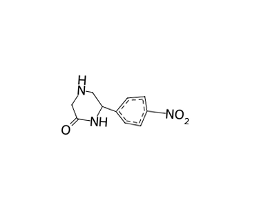 O=C1CNCC(c2ccc([N+](=O)[O-])cc2)N1